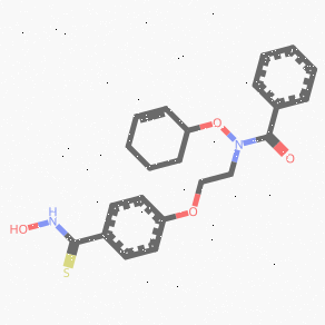 O=C(c1ccccc1)N(CCOc1ccc(C(=S)NO)cc1)OC1C=CCCC1